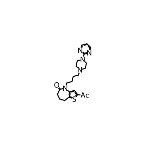 CC(=O)c1cc2c(s1)CCCC(=O)N2CCCCN1CCN(c2ncccn2)CC1